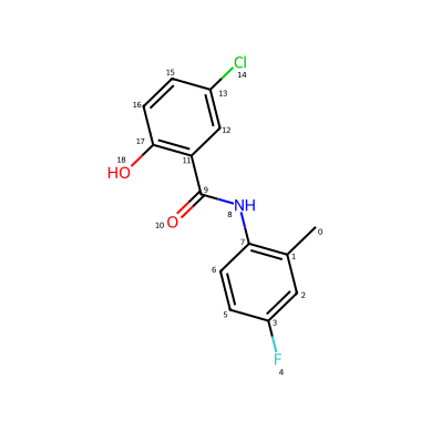 Cc1cc(F)ccc1NC(=O)c1cc(Cl)ccc1O